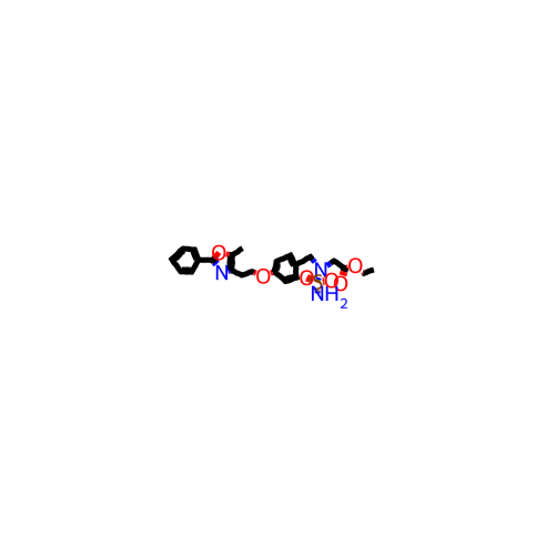 CCOC(=O)CN(Cc1ccc(OCCc2nc(-c3ccccc3)oc2C)cc1)S(N)(=O)=O